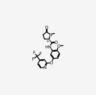 COc1ccc(Oc2cc(C(F)(F)F)ccn2)cc1NC(=O)[C@H]1CCC(=O)N1C